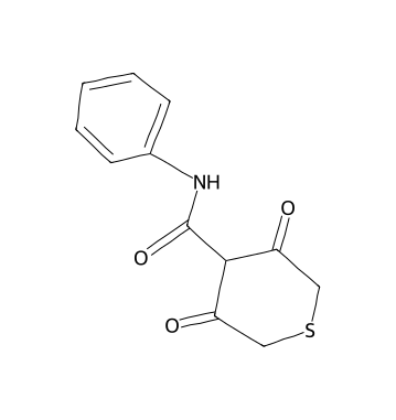 O=C1CSCC(=O)C1C(=O)Nc1ccccc1